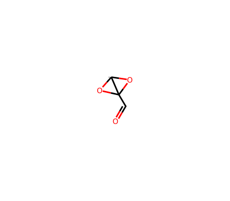 O=CC12O[C]1O2